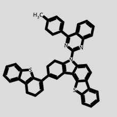 CC1=CC=C(c2nc(-n3c4c(c5c6sc7ccccc7c6ccc53)C=C(C3=CCCc5c3sc3ccccc53)CC4)nc3ccccc23)CC1